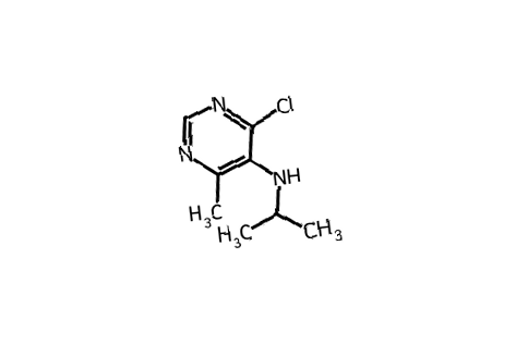 Cc1ncnc(Cl)c1NC(C)C